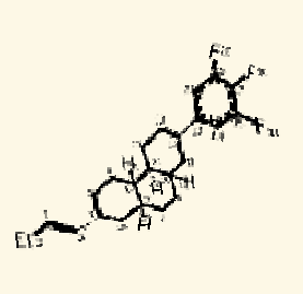 CCC=C[C@@H]1CC[C@H]2[C@H](CC[C@H]3C[C@H](c4cc(F)c(F)c(F)c4)CC[C@@H]32)C1